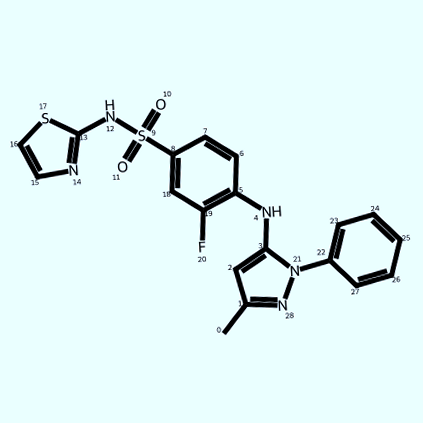 Cc1cc(Nc2ccc(S(=O)(=O)Nc3nccs3)cc2F)n(-c2ccccc2)n1